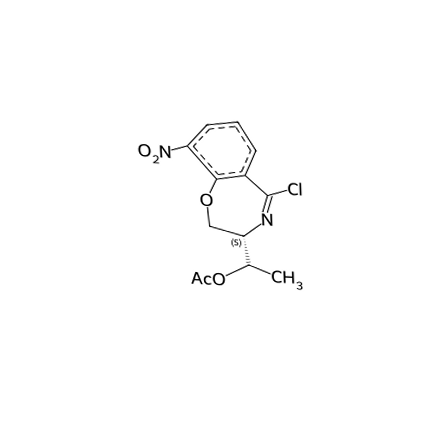 CC(=O)OC(C)[C@@H]1COc2c(cccc2[N+](=O)[O-])C(Cl)=N1